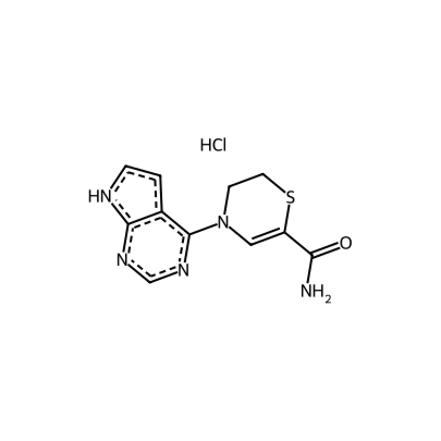 Cl.NC(=O)C1=CN(c2ncnc3[nH]ccc23)CCS1